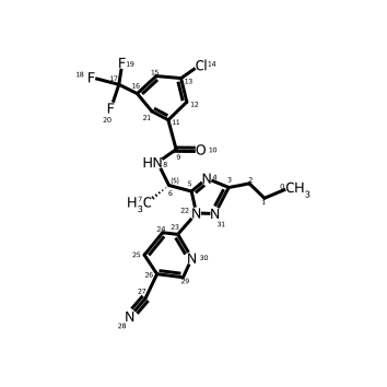 CCCc1nc([C@H](C)NC(=O)c2cc(Cl)cc(C(F)(F)F)c2)n(-c2ccc(C#N)cn2)n1